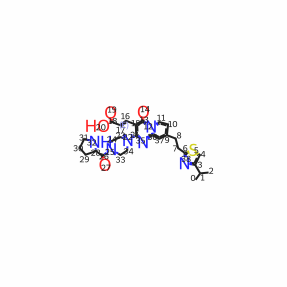 CC(C)c1csc(CCc2ccn3c(=O)c(/C=C/C(=O)O)c(N4CCN(C(=O)C5CCCN5)CC4)nc3c2)n1